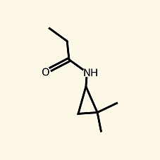 CCC(=O)NC1CC1(C)C